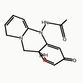 CC(=O)NN1C2=CC=CCN2CC23NN=NC2=CC(=O)C=C13